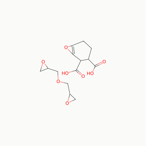 C(OCC1CO1)C1CO1.O=C(O)C1CCC2=C(O2)C1C(=O)O